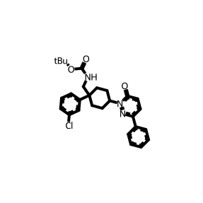 CC(C)(C)OC(=O)NCC1(c2cccc(Cl)c2)CCC(n2nc(-c3ccccc3)ccc2=O)CC1